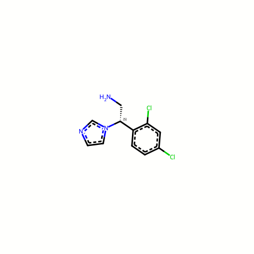 NC[C@H](c1ccc(Cl)cc1Cl)n1ccnc1